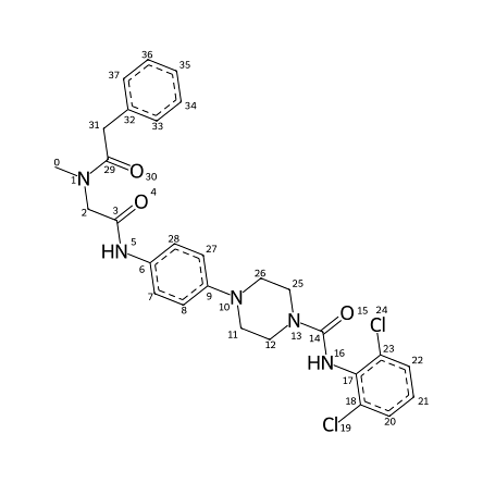 CN(CC(=O)Nc1ccc(N2CCN(C(=O)Nc3c(Cl)cccc3Cl)CC2)cc1)C(=O)Cc1ccccc1